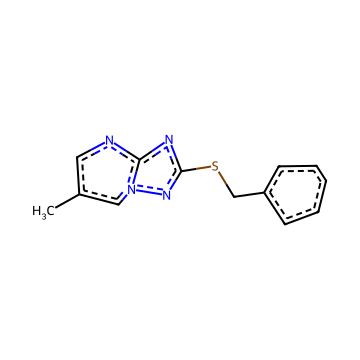 Cc1cnc2nc(SCc3ccccc3)nn2c1